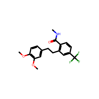 CNC(=O)c1ccc(C(F)(F)F)cc1CCc1ccc(OC)c(OC)c1